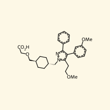 COCCc1c(-c2cccc(OC)c2)c(-c2ccccc2)nn1C[C@H]1CC[C@H](COCC(=O)O)CC1